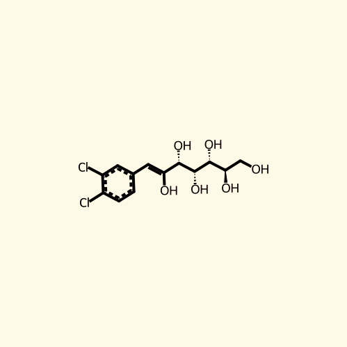 OC[C@@H](O)[C@@H](O)[C@H](O)[C@@H](O)C(O)=Cc1ccc(Cl)c(Cl)c1